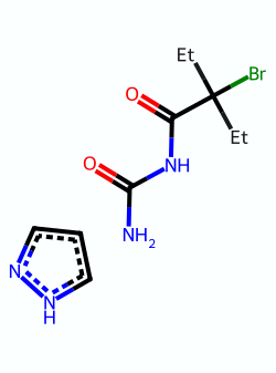 CCC(Br)(CC)C(=O)NC(N)=O.c1cn[nH]c1